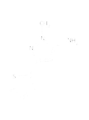 Cn1nc(-c2cccs2)cc1N